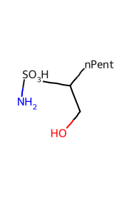 CCCCCC(C)CO.NS(=O)(=O)O